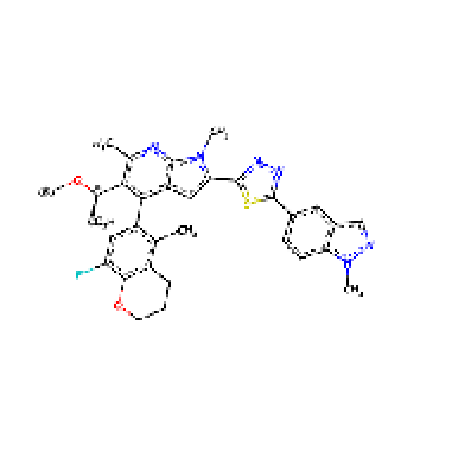 Cc1nc2c(cc(-c3nnc(-c4ccc5c(cnn5C)c4)s3)n2C)c(-c2cc(F)c3c(c2C)CCCO3)c1[C@H](OC(C)(C)C)C(=O)O